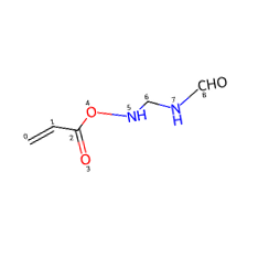 C=CC(=O)ONCNC=O